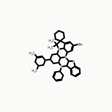 CC1=CC(C2CC3C4B(C5C=C(C(C)(C)C)C=C6C5N(C4C2)C(C)(C)C62CCCCC2)C2Sc4ccccc4C2N3C2C=CC=CC2)CC(C)C1